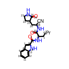 CC(C)CC(NC(=O)c1cc2ccccc2[nH]1)C(=O)NC(C#N)CC1CCNC1=O